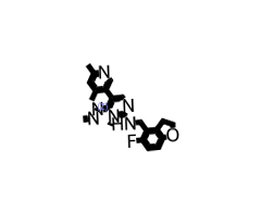 C=N/N=c1/c(-c2cnc(C)cc2C)cnc(NCc2c(F)ccc3c2CCO3)n1C